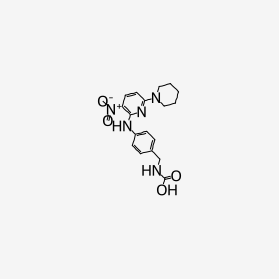 O=C(O)NCc1ccc(Nc2nc(N3CCCCC3)ccc2[N+](=O)[O-])cc1